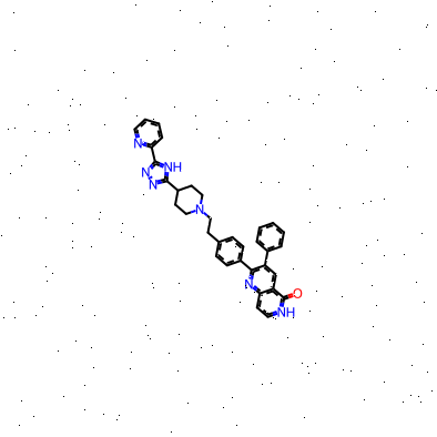 O=c1[nH]ccc2nc(-c3ccc(CCN4CCC(c5nnc(-c6ccccn6)[nH]5)CC4)cc3)c(-c3ccccc3)cc12